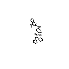 CN(C)c1cc(NC2CCC(NC(=O)C(Cc3ccccc3)c3ccccc3)CC2)nc2ccccc12